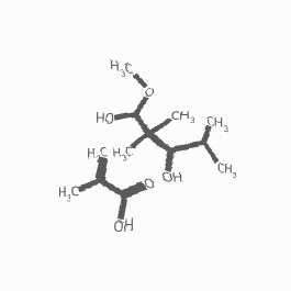 C=C(C)C(=O)O.COC(O)C(C)(C)C(O)C(C)C